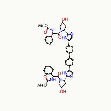 COC(=O)N[C@@H](C(=O)N1C[C@@H](O)C[C@H]1c1ncc(-c2ccc(-c3ccc(-c4cnc([C@@H]5C[C@H](O)CN5C(=O)[C@H](NC(=O)OC)c5ccccc5)[nH]4)cc3)cc2)[nH]1)c1ccccc1